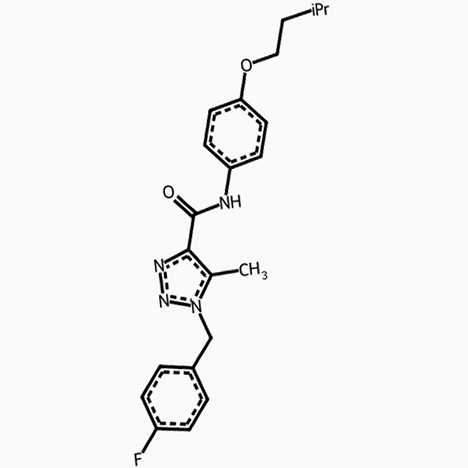 Cc1c(C(=O)Nc2ccc(OCCC(C)C)cc2)nnn1Cc1ccc(F)cc1